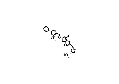 O=C(O)C1CCN(CC2=Cc3c(F)cc(OCc4ccc(-c5ccccc5)cc4C(F)(F)F)cc3OC2)C1